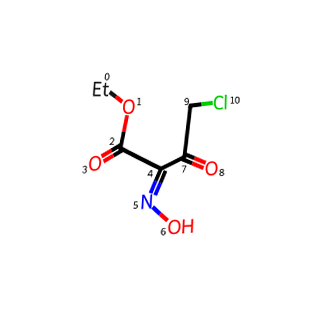 CCOC(=O)/C(=N/O)C(=O)CCl